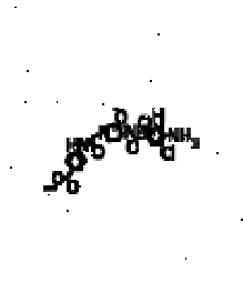 CCOC(=O)c1ccc(NC(=O)CN2CC[C@H](NC(=O)c3cc(Cl)c(N)[nH]c3=O)[C@H](OC)C2)cc1